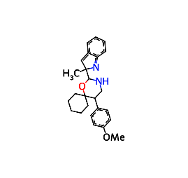 COc1ccc(C2CNC(C3(C)C=c4ccccc4=N3)OC23CCCCC3)cc1